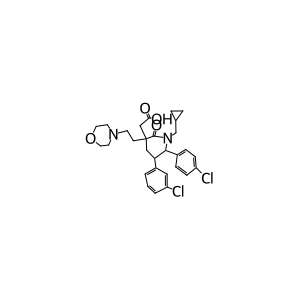 O=C(O)CC1(CCN2CCOCC2)CC(c2cccc(Cl)c2)C(c2ccc(Cl)cc2)N(CC2CC2)C1=O